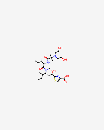 CCC(C)[C@@H](C[C@@H](O)c1nc(C(=O)O)cs1)N(C)C(=O)[C@@H](NC(=O)C(C)(C)N(CCO)CCO)[C@@H](C)CC